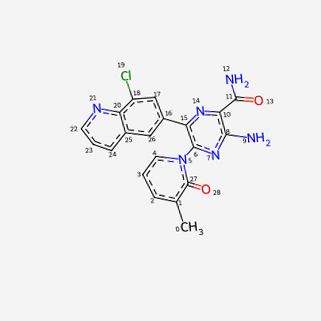 Cc1cccn(-c2nc(N)c(C(N)=O)nc2-c2cc(Cl)c3ncccc3c2)c1=O